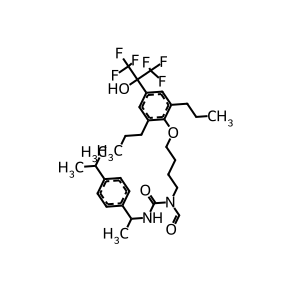 CCCc1cc(C(O)(C(F)(F)F)C(F)(F)F)cc(CCC)c1OCCCCN(C=O)C(=O)NC(C)c1ccc(C(C)C)cc1